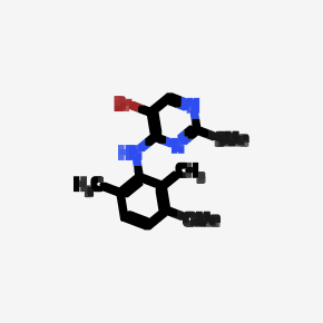 COc1ccc(C)c(Nc2nc(SC)ncc2Br)c1C